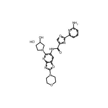 Cl.Nc1cccc(-c2nc(C(=O)Nc3cc4oc(N5CCOCC5)nc4nc3N3CCC(O)C3)co2)n1